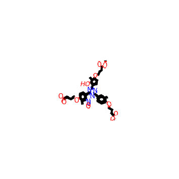 COC(=O)CCCOc1ccc(-c2nc(-c3ccc(OCCCC(=O)OC)c(C)c3O)nc(-c3ccc(OCCCC(=O)OC)c(C)c3N=O)n2)cc1C